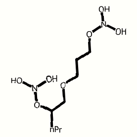 CCCC(COCCCON(O)O)ON(O)O